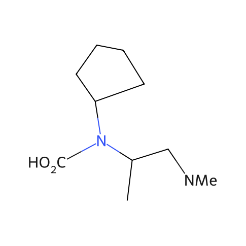 CNCC(C)N(C(=O)O)C1CCCC1